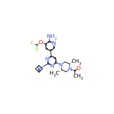 CC(=O)N1C[C@H](C)N(c2cc(-c3cnc(N)c(OC(F)F)c3)nc(N3CC4CC3C4)n2)C[C@@H]1C